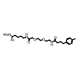 CN[C@@H](CCCCNC(=O)COCCOCCNC(=O)CCCc1ccc(C)cc1)C(C)=O